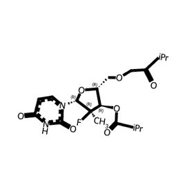 CC(C)C(=O)COC[C@H]1O[C@@H](n2ccc(=O)[nH]c2=O)[C@](C)(F)[C@@H]1OC(=O)C(C)C